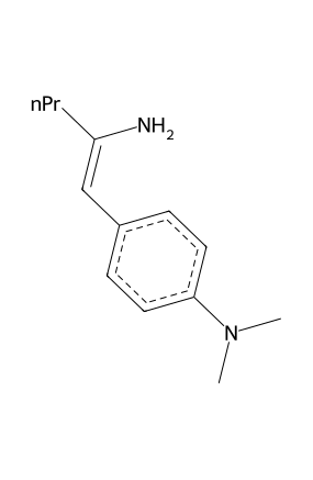 CCCC(N)=Cc1ccc(N(C)C)cc1